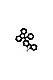 Cn1c2ccccc2c2cc(C3(c4ccccc4)c4ccccc4-c4ccccc43)ccc21